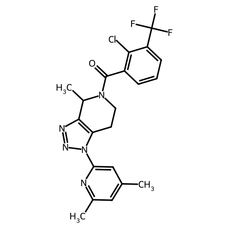 Cc1cc(C)nc(-n2nnc3c2CCN(C(=O)c2cccc(C(F)(F)F)c2Cl)C3C)c1